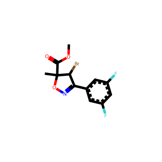 COC(=O)C1(C)ON=C(c2cc(F)cc(F)c2)C1Br